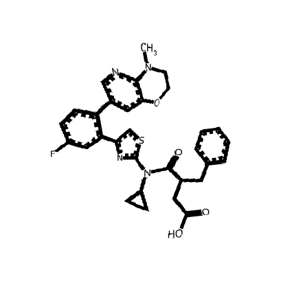 CN1CCOc2cc(-c3ccc(F)cc3-c3csc(N(C(=O)C(CC(=O)O)Cc4ccccc4)C4CC4)n3)cnc21